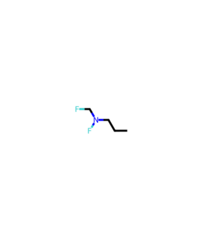 CCCN(F)CF